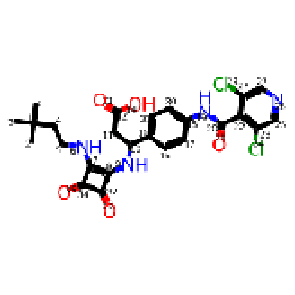 CC(C)(C)CCNc1c(NC(CC(=O)O)c2ccc(NC(=O)c3c(Cl)cncc3Cl)cc2)c(=O)c1=O